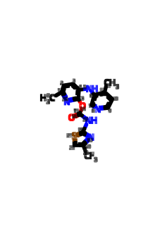 Cc1ccc(Nc2cnccc2C)c(OC(=O)Nc2nc(C(F)(F)F)cs2)n1